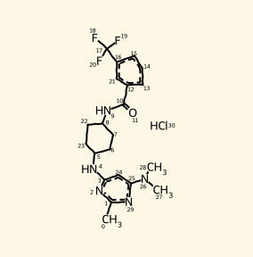 Cc1nc(NC2CCC(NC(=O)c3cccc(C(F)(F)F)c3)CC2)cc(N(C)C)n1.Cl